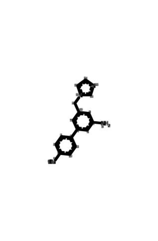 CC(C)(C)c1ccc(-c2cc(N)cc(Cn3ccnc3)c2)cc1